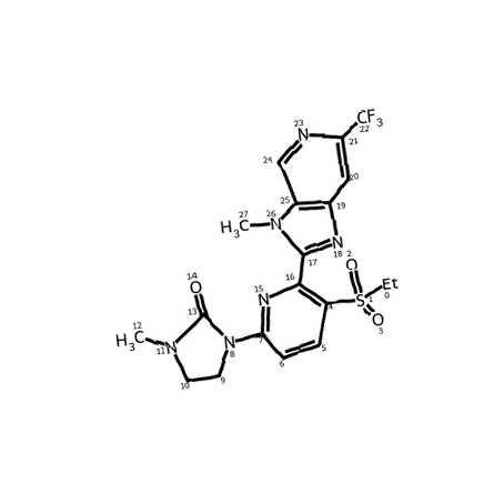 CCS(=O)(=O)c1ccc(N2CCN(C)C2=O)nc1-c1nc2cc(C(F)(F)F)ncc2n1C